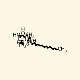 CCCCCCCCCCCCCC[N+](C)(C)CC(=O)N(C)C(OC(=O)C(F)(F)F)C(O)CO